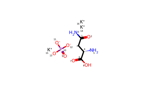 NC(=O)C[C@H](N)C(=O)O.O=P([O-])([O-])[O-].[K+].[K+].[K+]